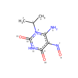 CC(C)n1c(N)c(N=O)c(=O)[nH]c1=O